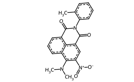 Cc1ccccc1N1C(=O)c2cccc3c(N(C)C)c([N+](=O)[O-])cc(c23)C1=O